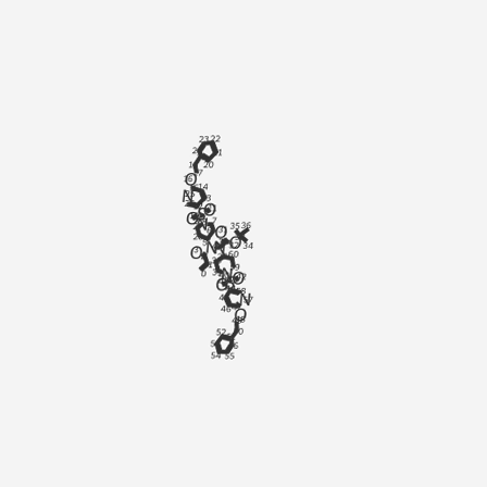 C=CC(=O)N(C1CCN(S(=O)(=O)c2ccc(OCCc3ccccc3)nc2)CC1)N(C(=O)OC(C)(C)C)C1CCN(S(=O)(=O)c2ccc(OCCc3ccccc3)nc2)CC1